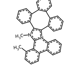 Cc1cccc2c3ccccc3n3c4c([n+](C)c3c12)-c1ccccc1-c1ccccc1-c1ccccc1-4